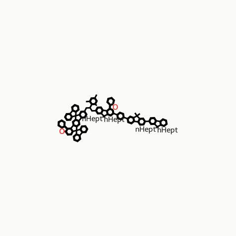 CCCCCCCC1(CCCCCCC)c2ccccc2-c2ccc(-c3ccc4c(c3)C(C)(C)c3cc(-c5ccc(-c6cc7c(c8c6oc6ccccc68)-c6ccc(CC(Cc8ccc9c(c8)C8(c%10ccccc%10-c%10ccccc%108)c8cc%10c(cc8-9)C8(c9ccccc9-c9ccccc98)c8ccc9oc%11ccccc%11c9c8-%10)c8c(C)cc(C)cc8C)cc6C7(CCCCCCC)CCCCCCC)cc5)ccc3-4)cc21